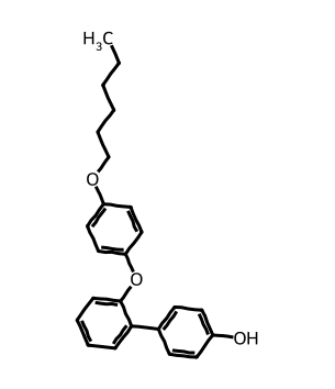 CCCCCCOc1ccc(Oc2ccccc2-c2ccc(O)cc2)cc1